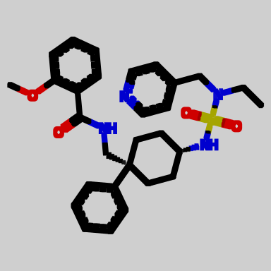 CCN(Cc1ccncc1)S(=O)(=O)N[C@H]1CC[C@](CNC(=O)c2ccccc2OC)(c2ccccc2)CC1